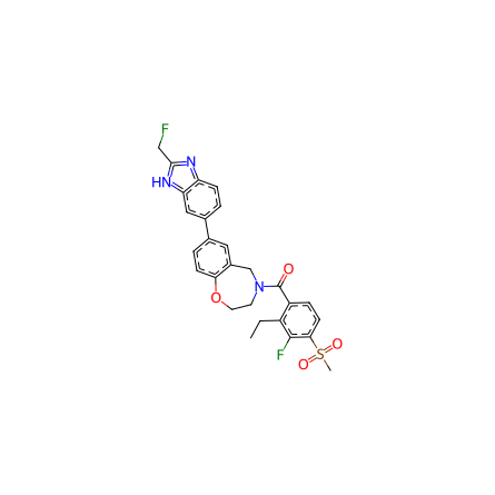 CCc1c(C(=O)N2CCOc3ccc(-c4ccc5nc(CF)[nH]c5c4)cc3C2)ccc(S(C)(=O)=O)c1F